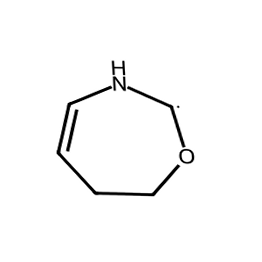 [CH]1NC=CCCO1